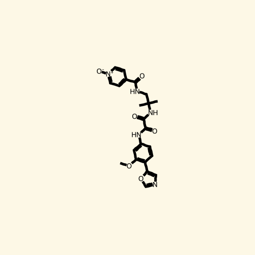 COc1cc(NC(=O)C(=O)NC(C)(C)CNC(=O)c2cc[n+]([O-])cc2)ccc1-c1cnco1